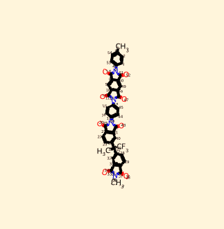 Cc1ccc(-n2c(=O)c3cc4c(=O)n(-c5ccc(N6C(=O)c7ccc(C(C)(c8ccc9c(c8)C(=O)N(C)C9=O)C(F)(F)F)cc7C6=O)cc5)c(=O)c4cc3c2=O)cc1